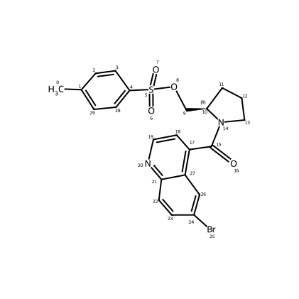 Cc1ccc(S(=O)(=O)OC[C@H]2CCCN2C(=O)c2ccnc3ccc(Br)cc23)cc1